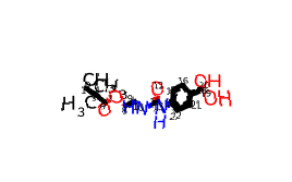 CCC(C)(C)C(=O)OCCNC(=O)Nc1ccc(C(O)O)cc1